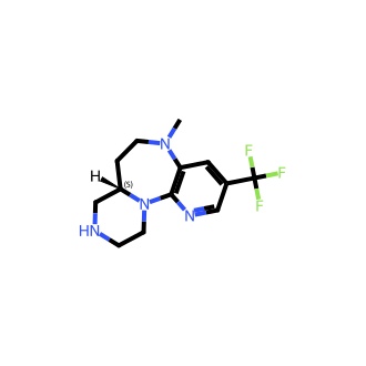 CN1CC[C@H]2CNCCN2c2ncc(C(F)(F)F)cc21